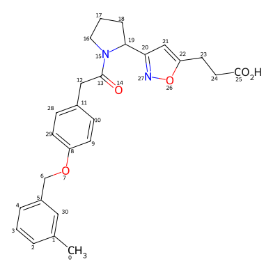 Cc1cccc(COc2ccc(CC(=O)N3CCCC3c3cc(CCC(=O)O)on3)cc2)c1